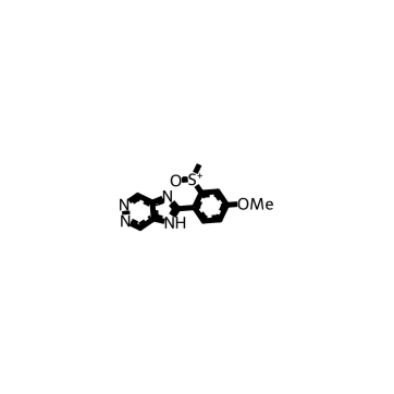 COc1ccc(-c2nc3cnncc3[nH]2)c([S+](C)[O-])c1